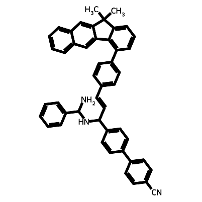 CC1(C)c2cc3ccccc3cc2-c2c(-c3ccc(/C=C/C(NC(N)c4ccccc4)c4ccc(-c5ccc(C#N)cc5)cc4)cc3)cccc21